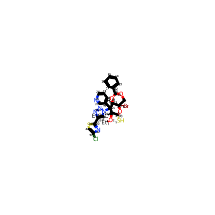 CCOC(=O)[C@]1(OCC)[C@@H](S)O[C@@]2(Br)COC(c3ccccc3)O[C@@H]2C1(c1cccnc1)n1cc(-c2nc(Cl)cs2)nn1